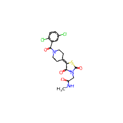 CNC(=O)CN1C(=O)SC(=C2CCN(C(=O)c3cc(Cl)ccc3Cl)CC2)C1=O